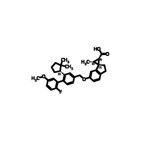 COc1ccc(F)c(-c2ccc(COc3ccc4c(c3)[C@]3(CC4)[C@H](C)[C@H]3C(=O)O)cc2[C@@H]2CCCC2(C)C)c1